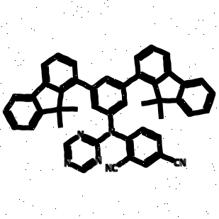 CC1(C)c2ccccc2-c2cccc(-c3cc(-c4cccc5c4C(C)(C)c4ccccc4-5)cc(N(c4ncncn4)c4ccc(C#N)cc4C#N)c3)c21